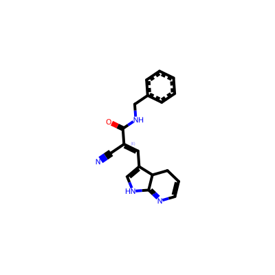 N#C/C(=C\C1=CNC2=NC=CCC12)C(=O)NCc1ccccc1